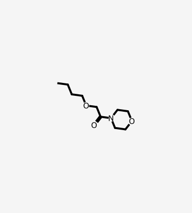 CCCCOCC(=O)N1CCOCC1